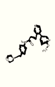 COc1ccc(-c2ccncc2C=CC(=O)Nc2ccc(CN3CCOCC3)cc2)cn1